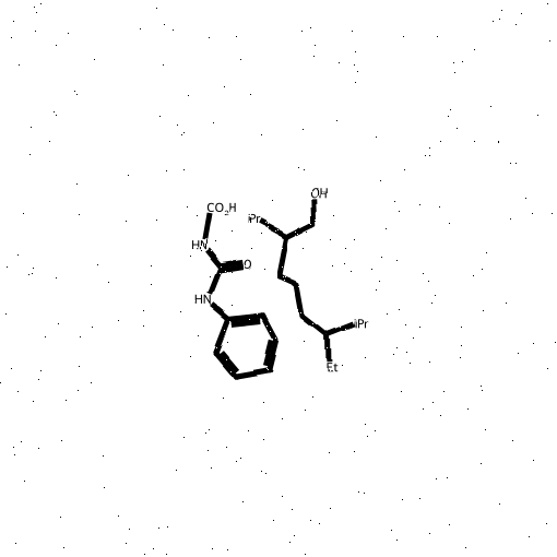 CCC(CCCC(CO)C(C)C)C(C)C.O=C(O)NC(=O)Nc1ccccc1